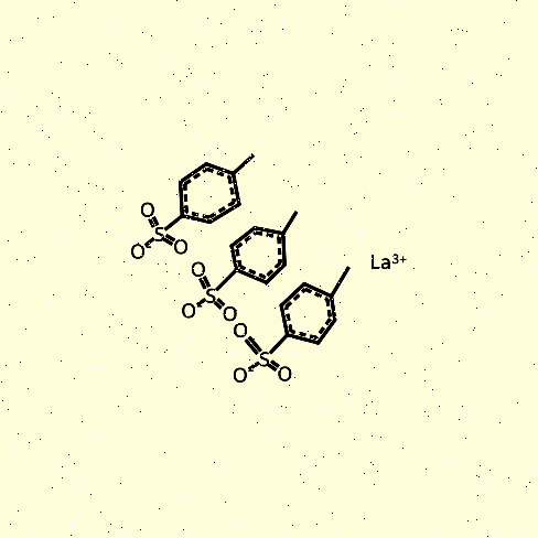 Cc1ccc(S(=O)(=O)[O-])cc1.Cc1ccc(S(=O)(=O)[O-])cc1.Cc1ccc(S(=O)(=O)[O-])cc1.[La+3]